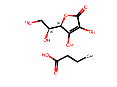 CCCC(=O)O.O=C1O[C@H]([C@@H](O)CO)C(O)=C1O